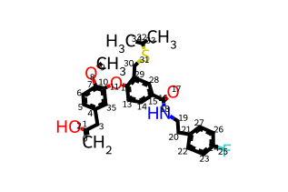 C=C(O)Cc1ccc(OC)c(Oc2ccc(C(=O)NCCc3ccc(F)cc3)cc2CSC(C)C)c1